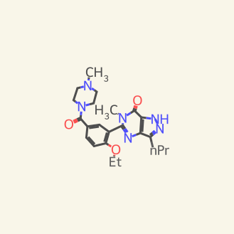 CCCc1n[nH]c2c(=O)n(C)c(-c3cc(C(=O)N4CCN(C)CC4)ccc3OCC)nc12